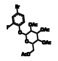 CC(=O)OCC1OC(Oc2ccc(Br)cc2F)C(OC(C)=O)C(OC(C)=O)C1OC(C)=O